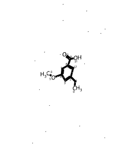 CCc1cc(OC)cc(C(=O)O)c1